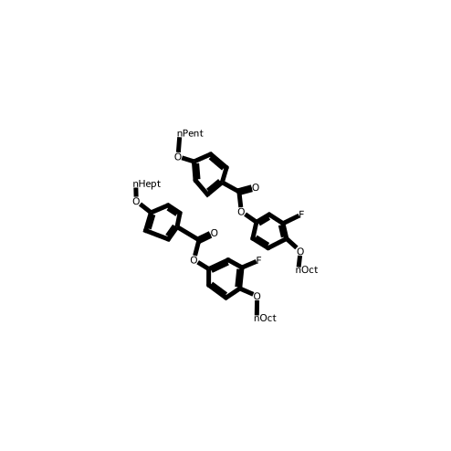 CCCCCCCCOc1ccc(OC(=O)c2ccc(OCCCCC)cc2)cc1F.CCCCCCCCOc1ccc(OC(=O)c2ccc(OCCCCCCC)cc2)cc1F